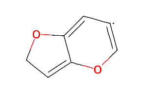 [C]1=COC2=CCOC2=C1